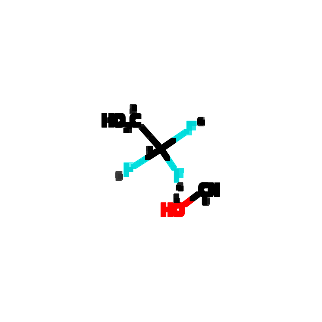 N#CO.O=C(O)C(F)(F)F